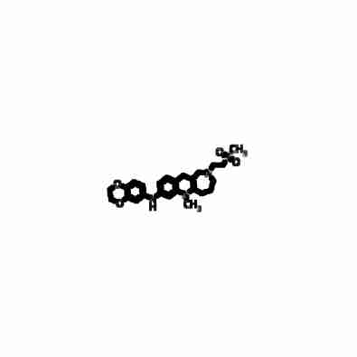 CN1C2=C(Cc3ccc(Nc4ccc5c(c4)OCCO5)cc31)CN(CCS(C)(=O)=O)CCC2